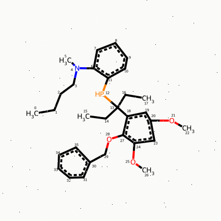 CCCCN(C)c1ccccc1PC(CC)(CC)c1cc(OC)cc(OC)c1OCc1ccccc1